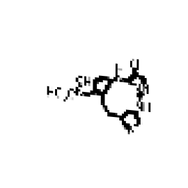 CN(Cc1ccc2cc1CCc1cncc(c1)Nc1ncc(Cl)c(n1)N2)C(=O)O